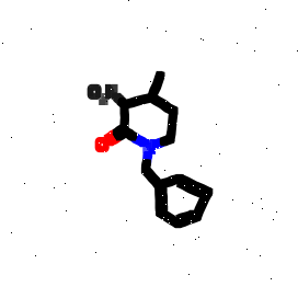 CC1CCN(Cc2ccccc2)C(=O)C1[N+](=O)[O-]